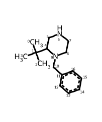 CC(C)(C)C1CNCCN1Cc1ccccc1